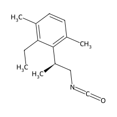 CCc1c(C)ccc(C)c1[C@H](C)CN=C=O